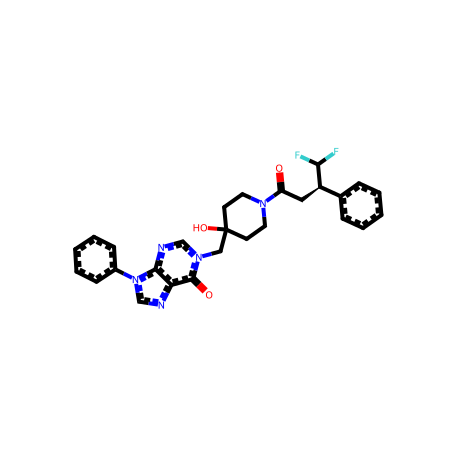 O=C(C[C@H](c1ccccc1)C(F)F)N1CCC(O)(Cn2cnc3c(ncn3-c3ccccc3)c2=O)CC1